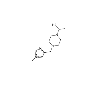 CC(S)N1CCN(Cc2cn(C)cn2)CC1